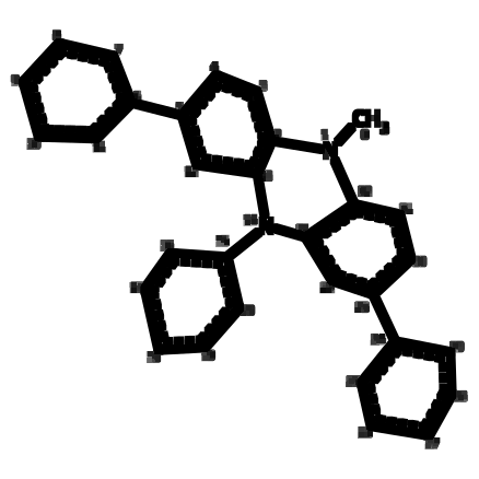 CN1c2ccc(-c3ccccc3)cc2N(c2ccccc2)c2cc(-c3ccccc3)ccc21